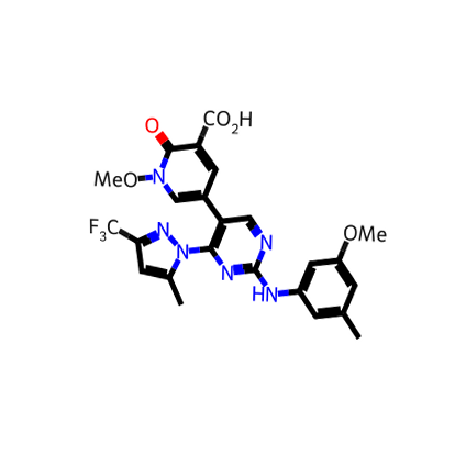 COc1cc(C)cc(Nc2ncc(-c3cc(C(=O)O)c(=O)n(OC)c3)c(-n3nc(C(F)(F)F)cc3C)n2)c1